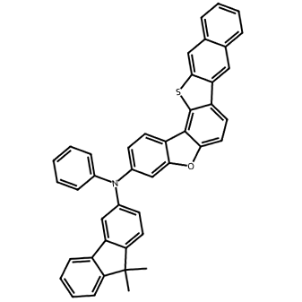 CC1(C)c2ccccc2-c2cc(N(c3ccccc3)c3ccc4c(c3)oc3ccc5c6cc7ccccc7cc6sc5c34)ccc21